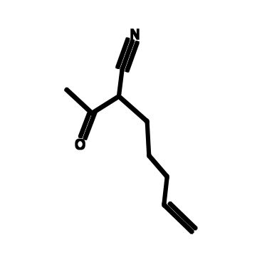 C=CCCCC(C#N)C(C)=O